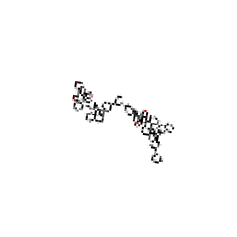 c1ccc(-c2ccc(N(c3ccc4ccccc4c3)c3cccc4c3-c3ccccc3C43c4ccccc4N(c4ccc(-c5cccc(-c6ccc(N(c7ccc8c(c7)-c7ccccc7C87c8ccccc8N(c8ccccc8)c8ccccc87)c7cccc8ccccc78)cc6)c5)cc4)c4ccccc43)cc2)cc1